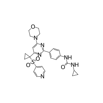 O=C(Nc1ccc(-c2nc(N3CCOCC3)cc(C3(S(=O)(=O)c4ccncc4)CC3)n2)cc1)NC1CC1